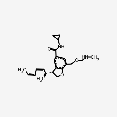 C=C(/C=C\C=C/C)[C@H]1COc2c(COCNC)cc(C(=O)NC3CC3)cc21